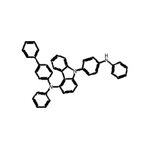 c1ccc(Nc2ccc(-n3c4ccccc4c4c(N(c5ccccc5)c5ccc(-c6ccccc6)cc5)cccc43)cc2)cc1